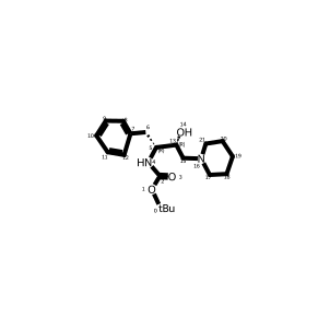 CC(C)(C)OC(=O)N[C@H](Cc1ccccc1)[C@H](O)CN1CCCCC1